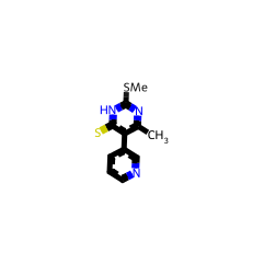 CSc1nc(C)c(-c2cccnc2)c(=S)[nH]1